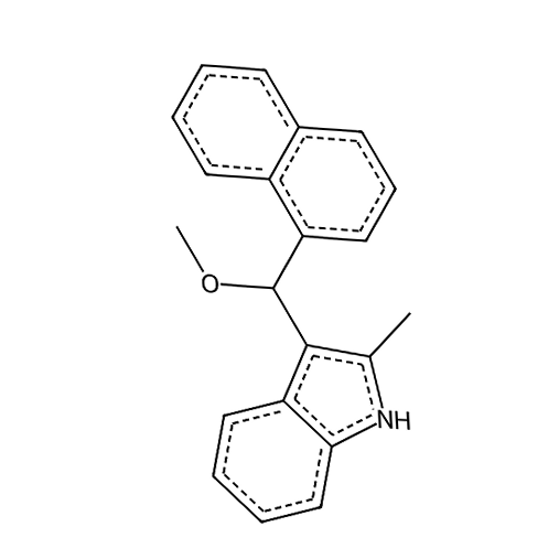 COC(c1cccc2ccccc12)c1c(C)[nH]c2ccccc12